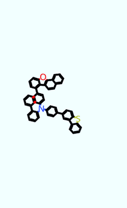 c1ccc(-c2ccccc2N(c2ccc(-c3ccc4sc5ccccc5c4c3)cc2)c2ccc(-c3cccc4oc5c6ccccc6ccc5c34)cc2)cc1